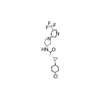 O=C(C[C@@H]1C[C@H]1c1ccc(Cl)cc1)N[C@@H]1CCN(c2cncc(C(F)(F)F)c2)C1